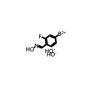 [B+2]c1ccc(C=NO)c(F)c1.[OH-].[OH-]